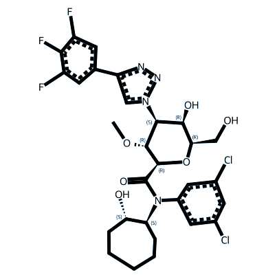 CO[C@@H]1[C@@H](n2cc(-c3cc(F)c(F)c(F)c3)nn2)[C@@H](O)[C@@H](CO)O[C@H]1C(=O)N(c1cc(Cl)cc(Cl)c1)[C@H]1CCCCC[C@@H]1O